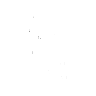 COc1cc(NC(N)=S)cc(F)c1-n1cnc(Cl)c1